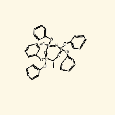 CC1N=P(Oc2ccccc2)(Oc2ccccc2)N=P(O)(Oc2ccccc2)N=P1(Oc1ccccc1)Oc1ccccc1